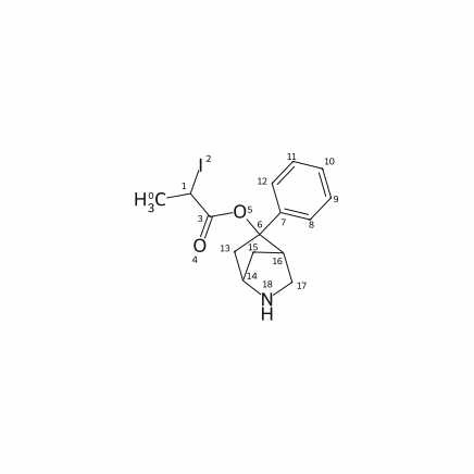 CC(I)C(=O)OC1(c2ccccc2)CC2CC1CN2